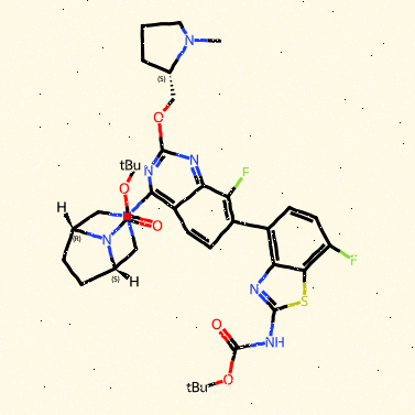 CN1CCC[C@H]1COc1nc(N2C[C@H]3CC[C@@H](C2)N3C(=O)OC(C)(C)C)c2ccc(-c3ccc(F)c4sc(NC(=O)OC(C)(C)C)nc34)c(F)c2n1